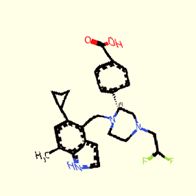 Cc1cc(C2CC2)c(CN2CCN(CC(F)F)C[C@H]2c2ccc(C(=O)O)cc2)c2cc[nH]c12